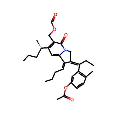 CCC/C=C1/C(=C(/CC)c2cc(OC(C)=O)ccc2C)Cn2c1cc([C@@H](C)CCC)c(COC=O)c2=O